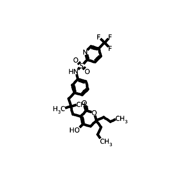 CCCC1(CCC)CC(O)=C(CC(C)(C)Cc2cccc(NS(=O)(=O)c3ccc(C(F)(F)F)cn3)c2)C(=O)O1